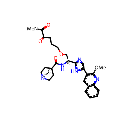 CNC(=O)C(=O)CCCOC[C@H](NC(=O)C12CCN(CC1)CC2)c1ncc(-c2cc3ccccc3nc2OC)[nH]1